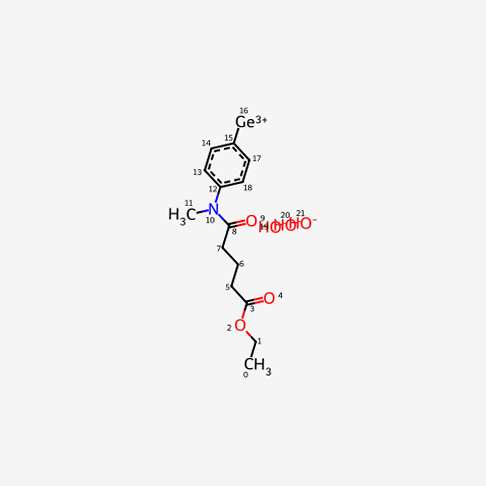 CCOC(=O)CCCC(=O)N(C)c1cc[c]([Ge+3])cc1.[OH-].[OH-].[OH-]